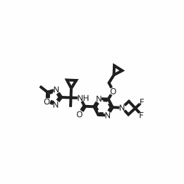 Cc1nc(C(C)(NC(=O)c2cnc(N3CC(F)(F)C3)c(OCC3CC3)n2)C2CC2)no1